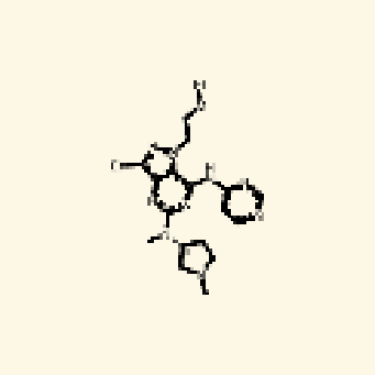 CCOCCn1nc(CC)c2nc(N(C)[C@@H]3CCN(C)C3)nc(Nc3ccncn3)c21